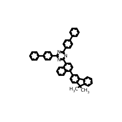 CC1(C)c2ccccc2-c2cc(-c3ccc(-c4nc(-c5ccc(-c6ccccc6)cc5)nc(-c5ccc(-c6ccccc6)cc5)n4)c4ccccc34)ccc21